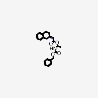 CC(NC(=O)OCc1ccccc1)OC(=O)/C=C1/CCc2ccccc2C1